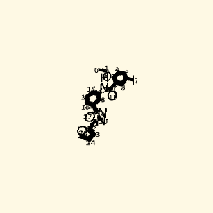 CCOc1ccc(I)cc1C(=O)Nc1cccc(-c2nnc(-c3ccco3)o2)c1